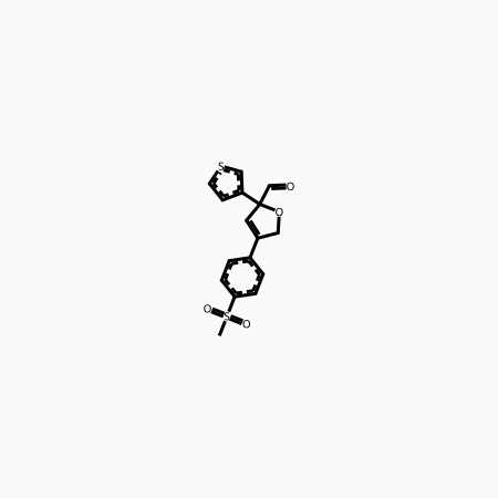 CS(=O)(=O)c1ccc(C2=CC(C=O)(c3ccsc3)OC2)cc1